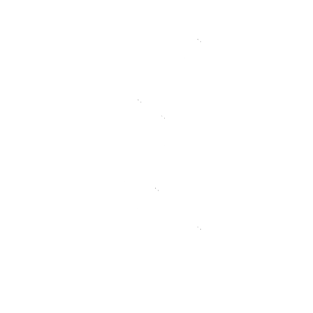 N#Cc1ccc(-c2nc(-c3ccccc3)cc(-c3cccc(-n4c5ccccc5c5ccc6c(c7ccccc7n6-c6ccccc6)c54)c3)n2)cc1